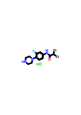 CCC(CC)C(=O)Nc1ccc(N2CCNCC2)c(F)c1.Cl